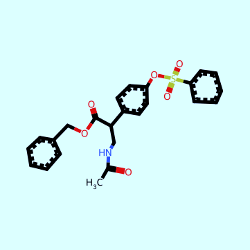 CC(=O)NCC(C(=O)OCc1ccccc1)c1ccc(OS(=O)(=O)c2ccccc2)cc1